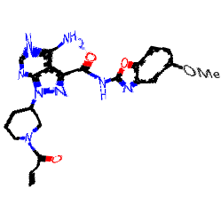 C=CC(=O)N1CCCC(n2nc(C(=O)Nc3nc4cc(OC)ccc4o3)c3c(N)ncnc32)C1